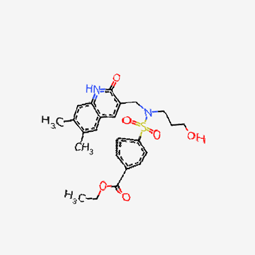 CCOC(=O)c1ccc(S(=O)(=O)N(CCCO)Cc2cc3cc(C)c(C)cc3[nH]c2=O)cc1